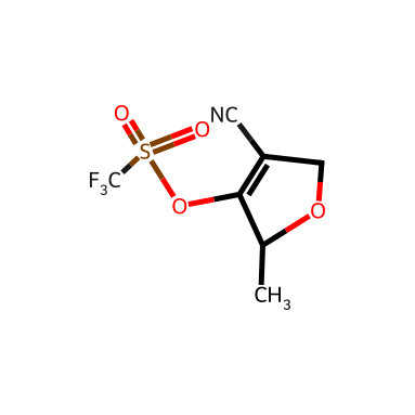 CC1OCC(C#N)=C1OS(=O)(=O)C(F)(F)F